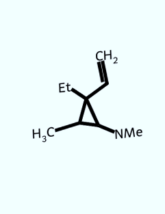 C=CC1(CC)C(C)C1NC